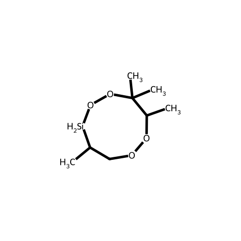 CC1COOC(C)C(C)(C)OO[SiH2]1